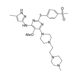 COc1c(Nc2cc(C)[nH]n2)nc(Sc2ccc(S(C)(=O)=O)cc2)nc1N1CCN(CCN2CCN(C)CC2)CC1